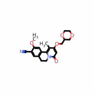 COc1cc2c(cc1C#N)CCn1c-2c(C)c(OCC2COCCO2)cc1=O